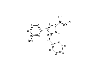 COC(=O)c1cc(-c2cccc(Br)c2)n(Cc2ccccc2)n1